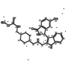 CC(C)(C)OC(=O)NCC1CCC(CNCc2[nH]c3ccccc3c2C2NC(=O)c3ccc(O)cc32)CC1